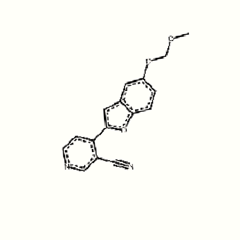 COCOc1ccc2oc(-c3ccncc3C#N)cc2c1